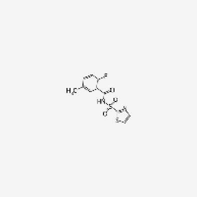 Cc1ccc(F)c(C(=O)NS(=O)(=O)c2nccs2)c1